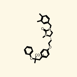 Cc1ccc(CN2C[C@H](CCOc3ccc(C[C@](C)(Oc4ccccc4)C(=O)O)cc3)N(C)C2=O)cc1C